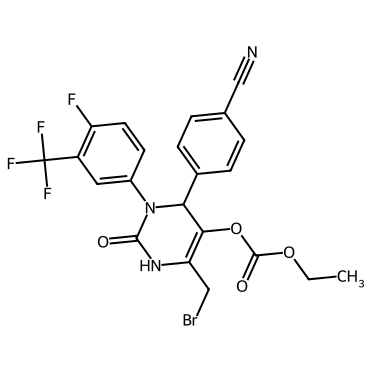 CCOC(=O)OC1=C(CBr)NC(=O)N(c2ccc(F)c(C(F)(F)F)c2)C1c1ccc(C#N)cc1